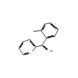 O/N=C(/c1ccccn1)c1ccccc1Cl